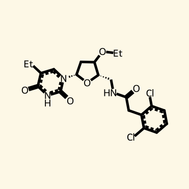 CCOC1C[C@@H](n2cc(CC)c(=O)[nH]c2=O)O[C@H]1CNC(=O)Cc1c(Cl)cccc1Cl